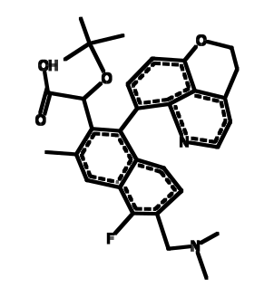 Cc1cc2c(F)c(CN(C)C)ccc2c(-c2ccc3c4c(ccnc24)CCO3)c1C(OC(C)(C)C)C(=O)O